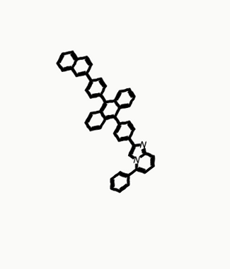 c1ccc(-c2cccc3nc(-c4ccc(-c5c6ccccc6c(-c6ccc(-c7ccc8ccccc8c7)cc6)c6ccccc56)cc4)cn23)cc1